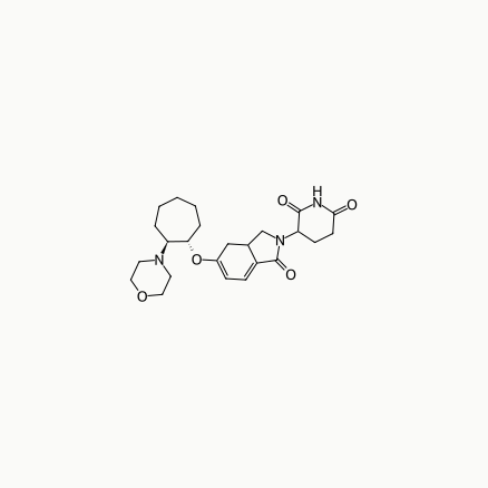 O=C1CCC(N2CC3CC(O[C@H]4CCCCC[C@@H]4N4CCOCC4)=CC=C3C2=O)C(=O)N1